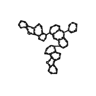 c1ccc(-c2c3cccc(-c4cccc5c4ccc4c6ccccc6oc54)c3cc3c(-c4cccc5c4ccc4c6ccccc6oc54)cccc23)cc1